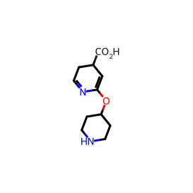 O=C(O)C1C=C(OC2CCNCC2)N=CC1